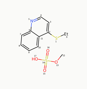 CCSc1ccnc2ccccc12.COS(=O)(=O)O